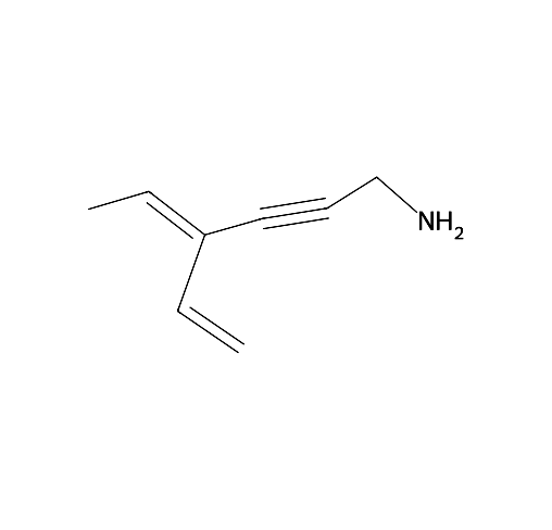 C=C/C(C#CCN)=C\C